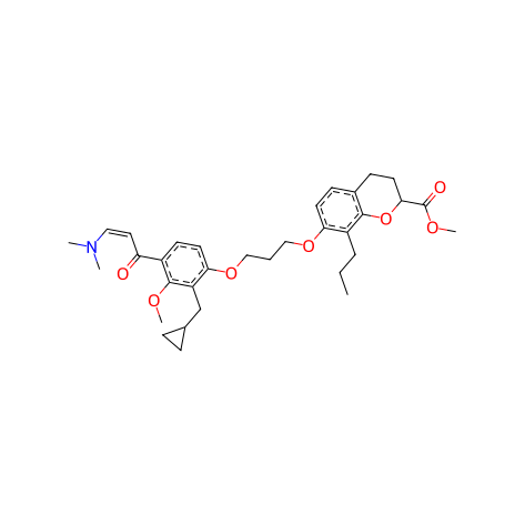 CCCc1c(OCCCOc2ccc(C(=O)/C=C\N(C)C)c(OC)c2CC2CC2)ccc2c1OC(C(=O)OC)CC2